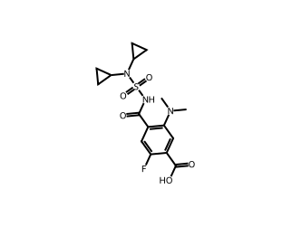 CN(C)c1cc(C(=O)O)c(F)cc1C(=O)NS(=O)(=O)N(C1CC1)C1CC1